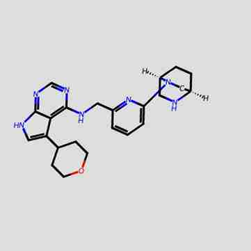 c1cc(CNc2ncnc3[nH]cc(C4CCOCC4)c23)nc(N2C[C@H]3CC[C@@H]2CN3)c1